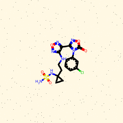 NS(=O)(=O)NC1(CCNc2nonc2-c2noc(=O)n2-c2cccc(Cl)c2)CC1